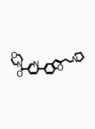 O=C(c1ccc(-c2ccc3oc(CCN4CCCC4)cc3c2)nc1)N1CCOCC1